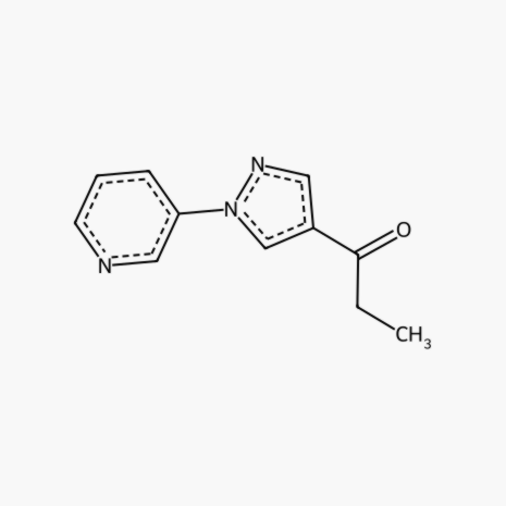 CCC(=O)c1cnn(-c2cccnc2)c1